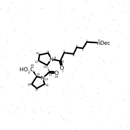 CCCCCCCCCCCCCCCC(=O)N1CCC[C@H]1C(=O)N1CCC[C@H]1C(=O)O